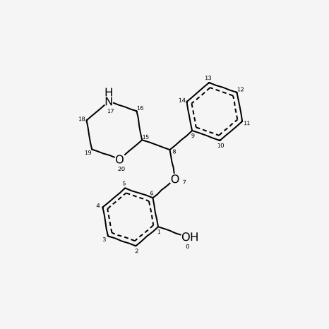 Oc1ccccc1OC(c1ccccc1)C1CNCCO1